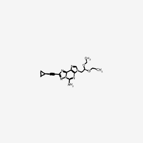 CCOC(Cn1cnc2c1nc(N)n1nc(C#CC3CC3)nc21)OCC